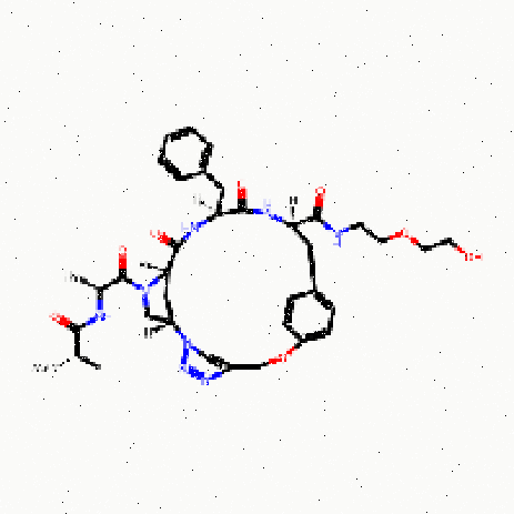 CN[C@@H](C)C(=O)N[C@H](C(=O)N1C[C@@H]2C[C@H]1C(=O)N[C@@H](Cc1ccccc1)C(=O)N[C@H](C(=O)NCCOCCO)Cc1ccc(cc1)OCc1cn2nn1)C(C)C